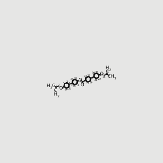 C=C(C)COc1ccc(-c2ccc(OC(=O)c3ccc(-c4ccc(OCC(=C)C)cc4)cc3)cc2)cc1